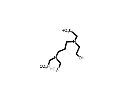 O=C(O)CN(CCO)CCCN(CC(=O)O)CC(=O)O